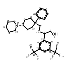 OCC(OC[C@]1(c2ccccc2)CC[C@@H](N2CCCCC2)CC1)c1cc(C(F)(F)F)cc(C(F)(F)F)c1